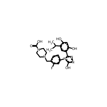 CC(C)c1cc(-c2nnc(O)n2-c2ccc(CN3CCN(C(=O)O)CC3)c(F)c2)c(O)cc1O